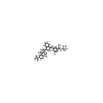 COc1ccc(C(F)(F)F)cc1NC(=O)Nc1ccc(Oc2cc(C)nc(NCC3CCCO3)n2)c2ccccc12